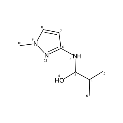 CC(C)C(O)Nc1ccn(C)n1